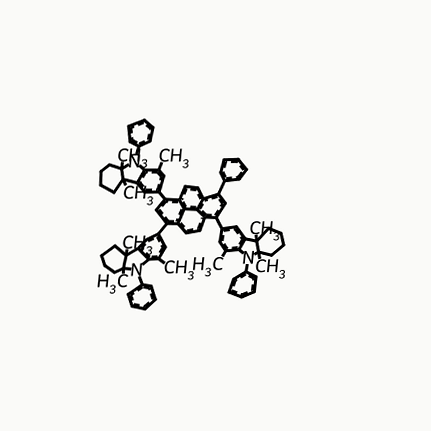 Cc1cc(-c2cc(-c3ccccc3)c3ccc4c(-c5cc(C)c6c(c5)C5(C)CCCCC5(C)N6c5ccccc5)cc(-c5cc(C)c6c(c5)C5(C)CCCCC5(C)N6c5ccccc5)c5ccc2c3c45)cc2c1N(c1ccccc1)C1(C)CCCCC21C